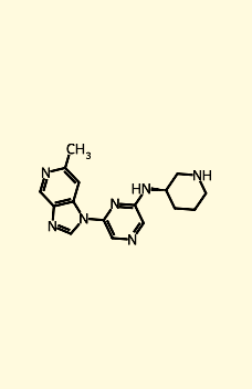 Cc1cc2c(cn1)ncn2-c1cncc(N[C@@H]2CCCNC2)n1